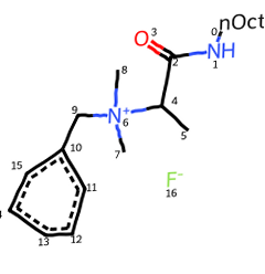 CCCCCCCCNC(=O)C(C)[N+](C)(C)Cc1ccccc1.[F-]